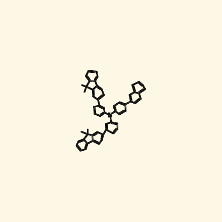 CC1(C)c2ccccc2-c2ccc(-c3cccc(N(c4ccc(-c5ccc6ccccc6c5)cc4)c4cccc(-c5ccc6c(c5)C(C)(C)c5ccccc5-6)c4)c3)cc21